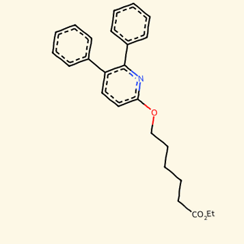 CCOC(=O)CCCCCOc1ccc(-c2ccccc2)c(-c2ccccc2)n1